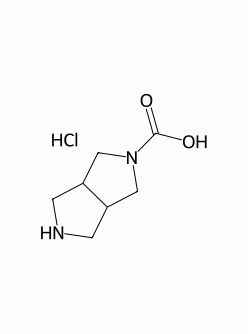 Cl.O=C(O)N1CC2CNCC2C1